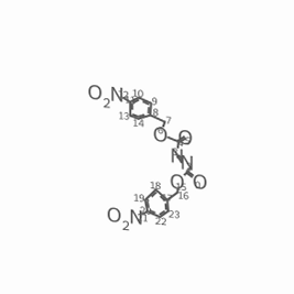 O=C(N=NC(=O)OCc1ccc([N+](=O)[O-])cc1)OCc1ccc([N+](=O)[O-])cc1